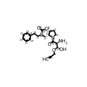 C#CCO[C@H](O)[C@H](N)C(=O)N1CCC[C@H]1CN(CCc1ccccc1)C(=O)C(F)(F)F